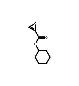 O=C(OC1CCCCC1)C1=CO1